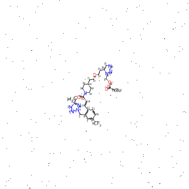 Cc1nnn(Cc2cc(C(F)(F)F)ccc2C=CC(=O)N2CCC(CCOCCc3cnnn3COC(=O)C(C)(C)C)CC2)n1